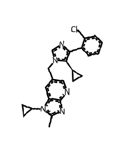 Cc1nc2ncc(Cn3cnc(-c4ccccc4Cl)c3C3CC3)cc2n1C1CC1